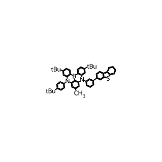 Cc1cc2c3c(c1)N(c1cccc(-c4ccc5c(c4)sc4ccccc45)c1)c1cc(C(C)(C)C)ccc1B3c1ccc(C(C)(C)C)cc1N2c1ccc(C(C)(C)C)cc1